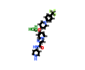 Cl.Cl.O=C(NC1CCNCC1)c1cn2ccc(OC3CCN(c4ccc(C(F)(F)F)cc4)CC3)cc2n1